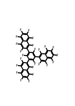 Fc1c(-c2c(F)c(F)c3c(F)c(F)c(F)c(F)c3c2F)c(F)c(-c2c(F)c(F)c3c(F)c(F)c(F)c(F)c3c2F)c(F)c1-c1c(F)c(F)c2c(F)c(F)c(F)c(F)c2c1F